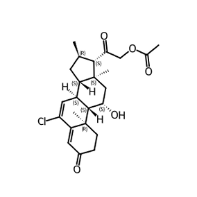 CC(=O)OCC(=O)[C@H]1[C@H](C)C[C@H]2[C@@H]3C=C(Cl)C4=CC(=O)CC[C@]4(C)[C@H]3[C@@H](O)C[C@@]21C